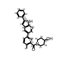 Cc1ccc(-c2cnc3[nH]c(-c4ccccc4)cc3c2)nc1C(=O)N1CCC(O)CC1